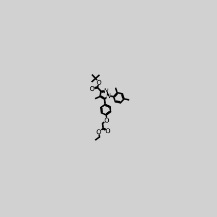 CCOC(=O)COc1ccc(-c2c(C)c(C(=O)OC(C)(C)C)nn2-c2ccc(C)cc2C)cc1